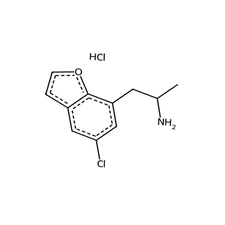 CC(N)Cc1cc(Cl)cc2ccoc12.Cl